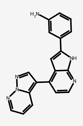 Nc1cccc(-c2cc3c(-c4cnn5ncccc45)ccnc3[nH]2)c1